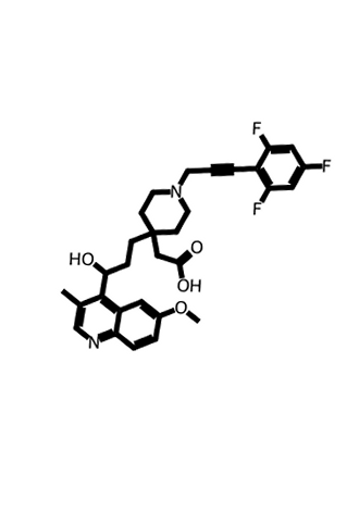 COc1ccc2ncc(C)c(C(O)CCC3(CC(=O)O)CCN(CC#Cc4c(F)cc(F)cc4F)CC3)c2c1